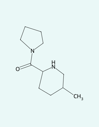 CC1CCC(C(=O)N2CCCC2)NC1